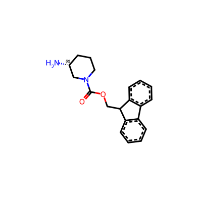 N[C@@H]1CCCN(C(=O)OCC2c3ccccc3-c3ccccc32)C1